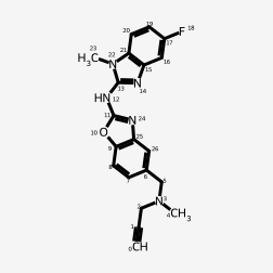 C#CCN(C)Cc1ccc2oc(Nc3nc4cc(F)ccc4n3C)nc2c1